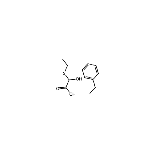 CCSC(O)C(=O)O.CCc1ccccc1